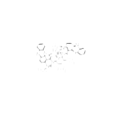 CCC(NC(=O)c1c(N(C)C)ccc2nc3ccccc3nc12)N(C)C(CC)NC(=O)c1c(N(C)C)ccc2nc3ccccc3nc12